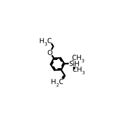 C=Cc1ccc(OCC)cc1[SiH](C)C